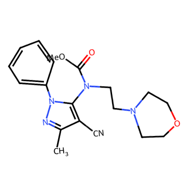 COC(=O)N(CCN1CCOCC1)c1c(C#N)c(C)nn1-c1ccccc1